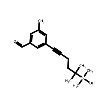 Cc1cc(C#CCCC(C)(C)[Si](C)(C)O)cc(C=O)c1